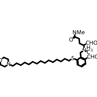 CNC(=O)CCC(C=O)N(C)Cc1c(C=O)cccc1SCCCCCCCCCCCCCCCN1CCOCC1